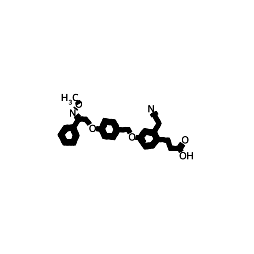 CO/N=C(\COc1ccc(COc2ccc(CCC(=O)O)c(CC#N)c2)cc1)c1ccccc1